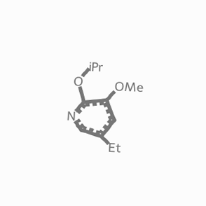 CCc1cnc(OC(C)C)c(OC)c1